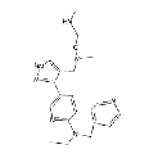 CCN(Cc1ccncc1)c1ccc(-c2n[nH]cc2CN(C)CCNC)cn1